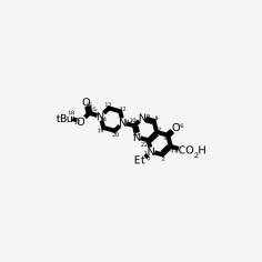 CCn1cc(C(=O)O)c(=O)c2cnc(N3CCN(C(=O)OC(C)(C)C)CC3)nc21